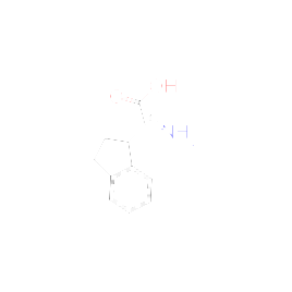 N[C@@H](C(=O)O)C1CCc2ccccc21